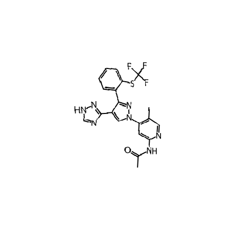 CC(=O)Nc1cc(-n2cc(-c3nc[nH]n3)c(-c3ccccc3SC(F)(F)F)n2)c(C)cn1